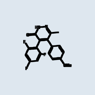 COc1ccc(-c2c(C)n[nH]c(=O)c2-c2c(F)cc(F)cc2F)cc1